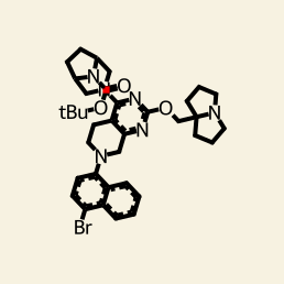 CC(C)(C)OC(=O)N1C2CCC1CN(c1nc(OCC34CCCN3CCC4)nc3c1CCN(c1ccc(Br)c4ccccc14)C3)C2